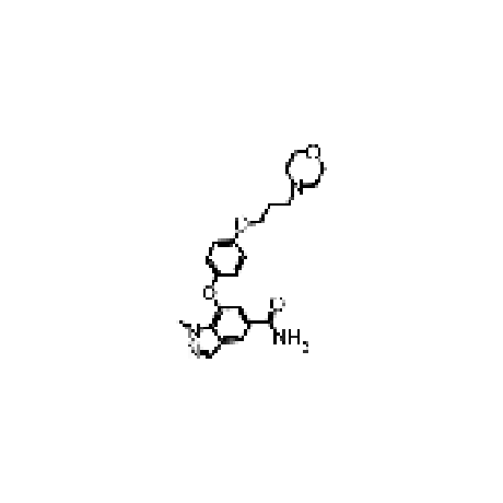 Cn1ncc2cc(C(N)=O)cc(Oc3ccc(OCCCN4CCOCC4)cc3)c21